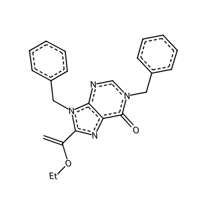 C=C(OCC)c1nc2c(=O)n(Cc3ccccc3)cnc2n1Cc1ccccc1